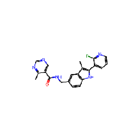 Cc1ncncc1C(=O)NCc1ccc2[nH]c(-c3cccnc3F)c(C)c2c1